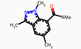 CNC(=O)c1cc(C)cc2c(C)nn(C)c12